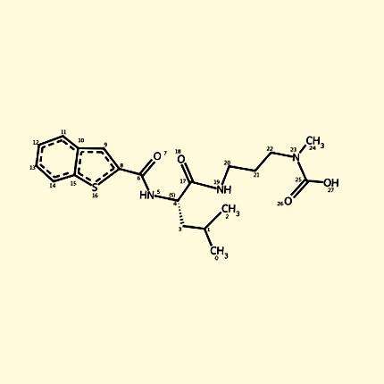 CC(C)C[C@H](NC(=O)c1cc2ccccc2s1)C(=O)NCCCN(C)C(=O)O